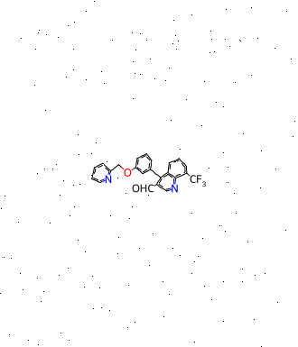 O=Cc1cnc2c(C(F)(F)F)cccc2c1-c1cccc(OCc2ccccn2)c1